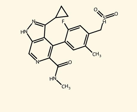 CNC(=O)c1ncc2[nH]nc(C3CC3)c2c1-c1cc(C)c(C[SH](=O)=O)cc1F